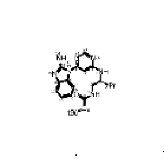 CC(C)[C@@H](CNC(=O)OC(C)(C)C)Nc1cc(-n2c(N)nc3ccccc32)ncn1